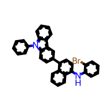 Brc1ccccc1Nc1ccc(-c2ccc3c(c2)c2ccccc2n3-c2ccccc2)c2ccccc12